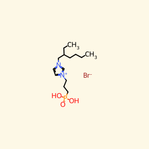 CCCCC(CC)Cn1cc[n+](CCCP(=O)(O)O)c1.[Br-]